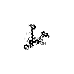 Cc1cc2c(cnn2C2CCCCO2)c(-c2ncc3c(O)nc(OC[C@@]45CCCN4C[C@H](F)C5)nc3c2F)c1CCCC(O)CCC1CCCNC1